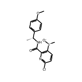 COc1ccc([C@@H](C)NC(=O)c2nc(Cl)ccc2[S+](C)[O-])cc1